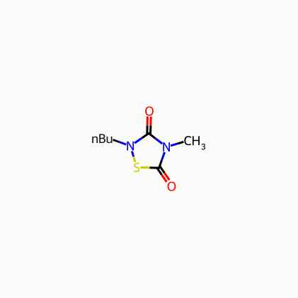 CCCCn1sc(=O)n(C)c1=O